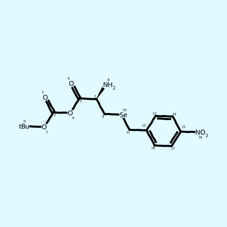 CC(C)(C)OC(=O)OC(=O)[C@@H](N)C[Se]Cc1ccc([N+](=O)[O-])cc1